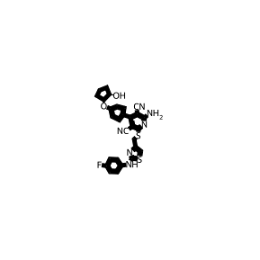 N#Cc1c(N)nc(SCc2csc(Nc3ccc(F)cc3)n2)c(C#N)c1-c1ccc(O[C@H]2CCC[C@@H]2O)cc1